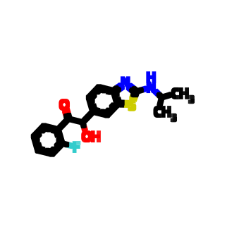 CC(C)Nc1nc2ccc(C(O)C(=O)c3ccccc3F)cc2s1